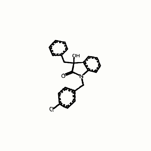 O=C1N(Cc2ccc(Cl)cc2)c2ccccc2C1(O)Cc1ccccc1